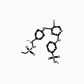 CCS(=O)(=O)N[C@H](C)c1ccc(Nc2nc(Nc3cccc(S(N)(=O)=O)c3)ncc2F)cc1